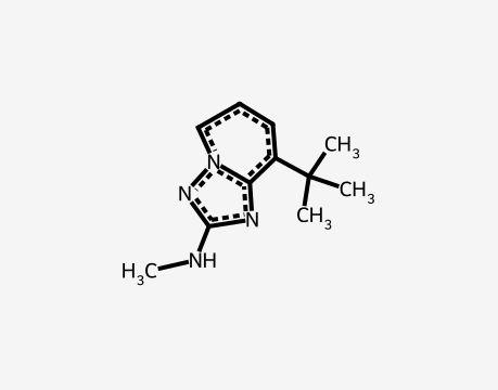 CNc1nc2c(C(C)(C)C)cccn2n1